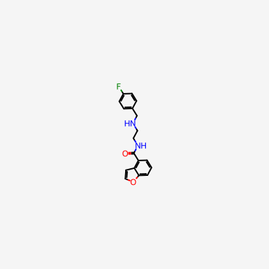 O=C(NCCNCc1ccc(F)cc1)c1cccc2occc12